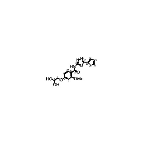 COc1cc(OCC(O)O)ccc1C(=O)Nc1nnc(-c2cccs2)o1